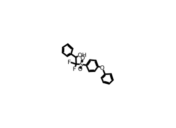 O=S(=O)(c1ccc(Oc2ccccc2)cc1)C(F)(F)C(O)c1ccccc1